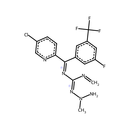 C=NC(=N\N(C)N)/N=C(\c1cc(F)cc(C(F)(F)F)c1)c1ccc(Cl)cn1